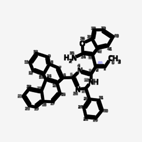 C/C=C(/C1=NC(c2cc3ccccc3c3c2ccc2ccccc23)=NC(c2ccccc2)N1)c1c(N)oc2ccccc12